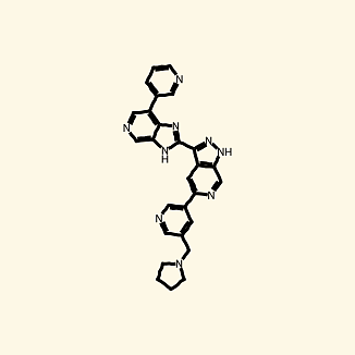 c1cncc(-c2cncc3[nH]c(-c4n[nH]c5cnc(-c6cncc(CN7CCCC7)c6)cc45)nc23)c1